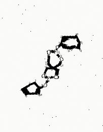 C1=CCCC(OP2OCC3(CO2)COP(Oc2ccccc2)OC3)=C1